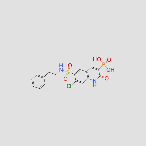 O=c1[nH]c2cc(Cl)c(S(=O)(=O)NCCc3ccccc3)cc2cc1P(=O)(O)O